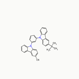 C[Si](C)(C)c1ccc2c(c1)c1ccccc1n2-c1cccc(-n2c3ccccc3c3cc(C#N)ccc32)c1